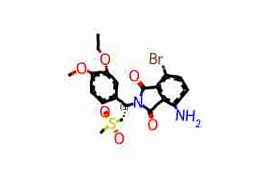 CCOc1cc([C@@H](CS(C)(=O)=O)N2C(=O)c3c(N)ccc(Br)c3C2=O)ccc1OC